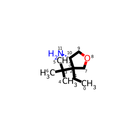 CCC1(C(C)(C)C)COC[C@H]1N